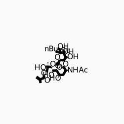 C=C(C)C(=O)OC[C@@](C)(O)COC(=O)C1OC(C)([C@@](O)(CC)CCCC)C(O)C(O)[C@H]1O[C@@H]1OC(CO)[C@@H](O)C[C@@H]1NC(C)=O